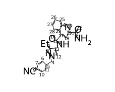 CCc1nn(Cc2ccc(C#N)cc2)cc1NC(=O)c1cc(C(N)=O)nc2ccccc12